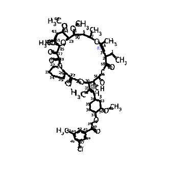 CCC1/C=C(\C)CC(C)CC(OC)C2OC(O)(C(=O)C(=O)N3CCCCC3C(=O)OC(C(C)=CC3CCC(OCC(=O)c4cc(C)cc(Cl)c4)C(OC)C3)C(C)C(O)CC1=O)C(C)CC2OC